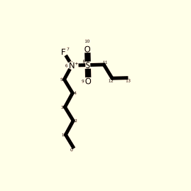 CCCCCC[N+](F)S(=O)(=O)CCC